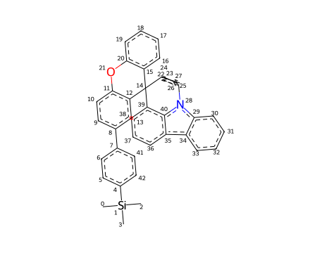 C[Si](C)(C)c1ccc(-c2ccc3c(c2)C2(c4ccccc4O3)c3ccccc3-n3c4ccccc4c4cccc2c43)cc1